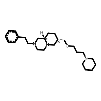 c1ccc(CCN2CCN3C[C@@H](COCCCN4CCCCC4)CC[C@H]3C2)cc1